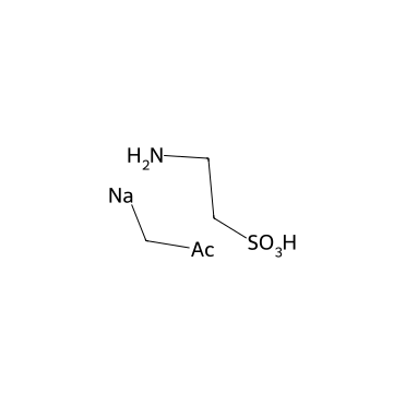 CC(=O)[CH2][Na].NCCS(=O)(=O)O